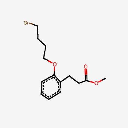 COC(=O)CCc1ccccc1OCCCCBr